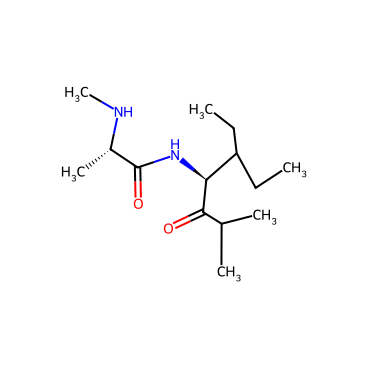 CCC(CC)[C@H](NC(=O)[C@H](C)NC)C(=O)C(C)C